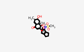 CC(=O)OCC(=O)[C@]12ON(S(C)(=O)=O)C3=C(CC4=C3CCC4)C1=CC(=O)C1=C[C@@H](C)[C@@H](O)C[C@@]12C